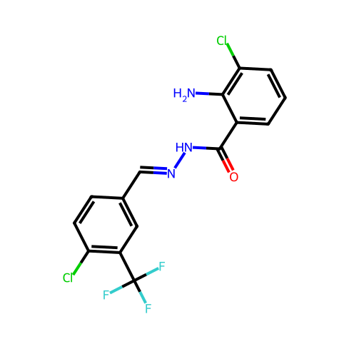 Nc1c(Cl)cccc1C(=O)N/N=C/c1ccc(Cl)c(C(F)(F)F)c1